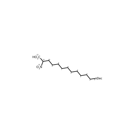 CCCCCCCCCCCCCCCCCCCCC(C(=O)O)[N+](=O)[O-]